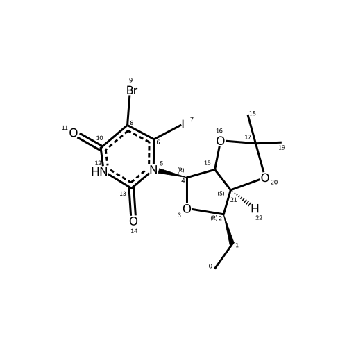 CC[C@H]1O[C@@H](n2c(I)c(Br)c(=O)[nH]c2=O)C2OC(C)(C)O[C@H]21